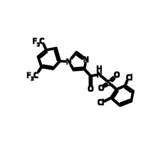 O=C(NS(=O)(=O)c1c(Cl)cccc1Cl)c1cn(-c2cc(C(F)(F)F)cc(C(F)(F)F)c2)cn1